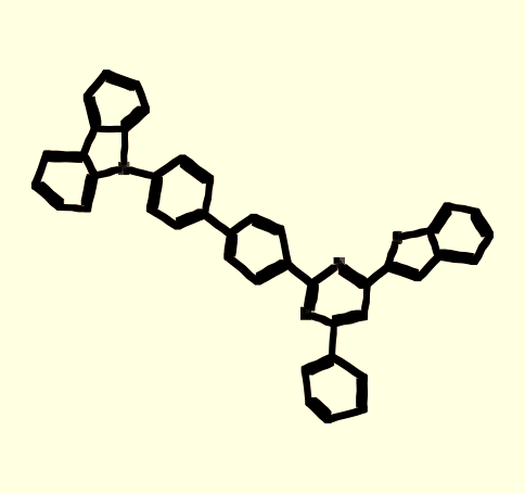 c1ccc(-c2cc(-c3cc4ccccc4s3)nc(-c3ccc(-c4ccc(-n5c6ccccc6c6ccccc65)cc4)cc3)n2)cc1